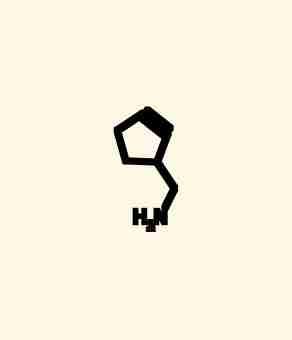 NCC1C#CCC1